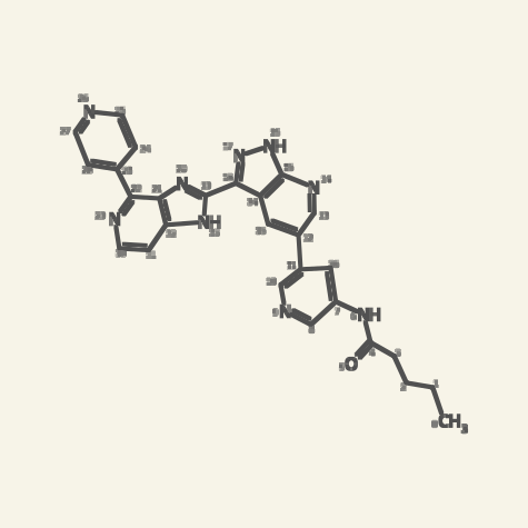 CCCCC(=O)Nc1cncc(-c2cnc3[nH]nc(-c4nc5c(-c6ccncc6)nccc5[nH]4)c3c2)c1